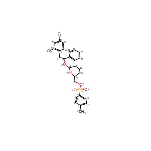 Cc1ccc(S(=O)(=O)OCC2CCCC(OC(Cc3ccc(Cl)cc3Cl)c3ccccc3)O2)cc1